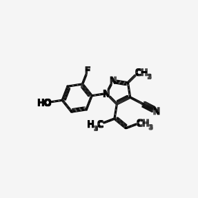 C/C=C(/C)c1c(C#N)c(C)nn1-c1ccc(O)cc1F